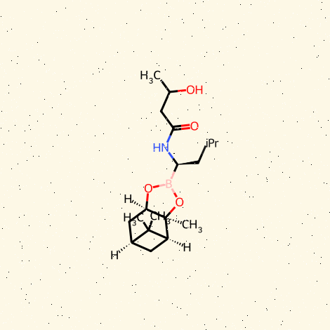 CC(C)C[C@H](NC(=O)CC(C)O)B1O[C@@H]2C[C@@H]3C[C@@H](C3(C)C)[C@]2(C)O1